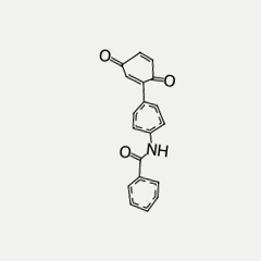 O=C1C=CC(=O)C(c2ccc(NC(=O)c3ccccc3)cc2)=C1